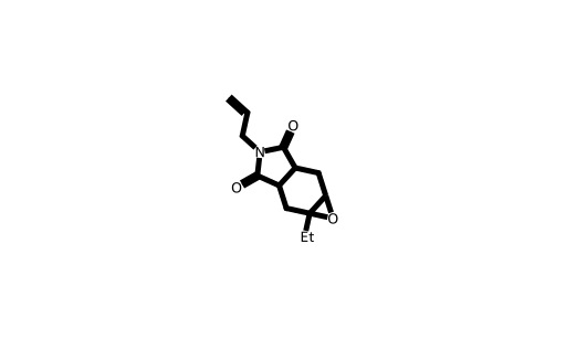 C=CCN1C(=O)C2CC3OC3(CC)CC2C1=O